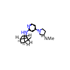 CN[C@@H]1CCN(c2ccnc(N[C@H]3C[C@@H]4C[C@@H]([C@H]3C)C4(C)C)c2)C1